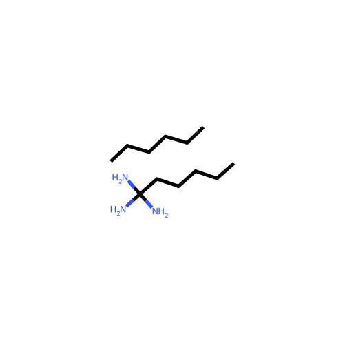 CCCCCC.CCCCCC(N)(N)N